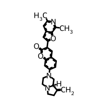 C=C1CCN2CCN(c3ccc4cc(-c5cc6cc(C)nc(C)c6o5)c(=O)oc4c3)C[C@H]12